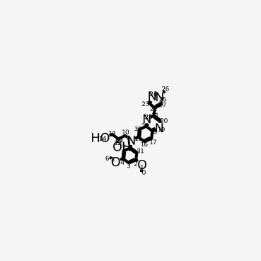 COc1cc(OC)cc(N(C[C@@H](O)CO)c2ccc3ncc(-c4cnn(C)c4)nc3c2)c1